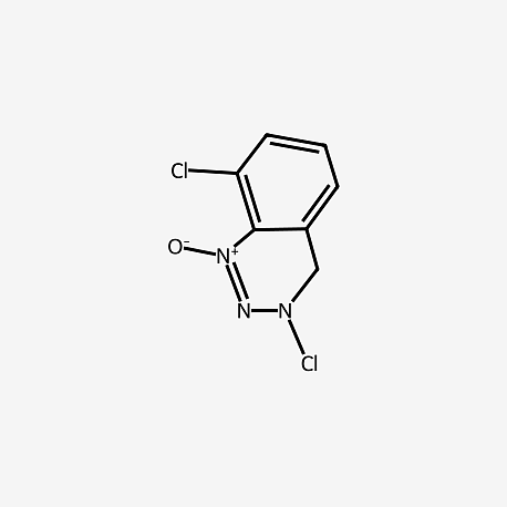 [O-][N+]1=NN(Cl)Cc2cccc(Cl)c21